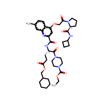 CCOC(=O)N1CCN(C(=O)[C@H](CCC(=O)OCC2CCCCC2)NC(=O)c2cc(OCC(=O)N3CCC[C@H]3C(=O)NC3CCC3)c3ccc(C)cc3n2)CC1